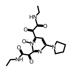 CCNC(=O)C(=O)c1cc(N2CCCC2)nc(C(=O)C(=O)NCC)[n+]1[O-]